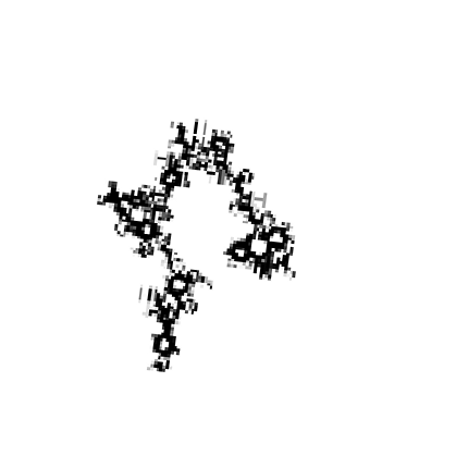 CC[C@H](C)[C@H](NC(=O)[C@@H]1CCCN1C(=O)CNC(=O)CNC(=O)CCC(=O)N1Cc2ccccc2-c2nnn(C(C)C)c2-c2ccccc21)C(=O)Nc1ccc(COC(=O)N2c3cc(OCCCOc4cc5c(cc4OC)C(=O)N4C=C(c6ccc(OC)cc6)C[C@H]4CN5)c(OC)cc3C(=O)N3CC4(CC4)C[C@H]3[C@@H]2O)cc1